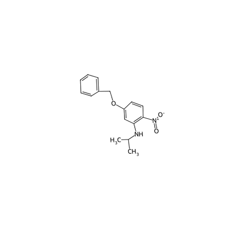 CC(C)Nc1cc(OCc2ccccc2)ccc1[N+](=O)[O-]